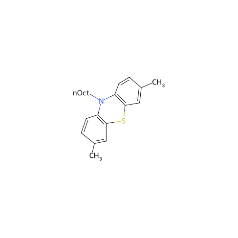 CCCCCCCCN1c2ccc(C)cc2Sc2cc(C)ccc21